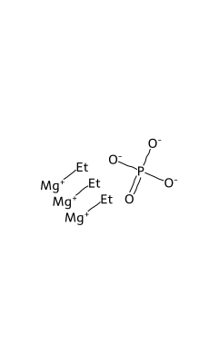 C[CH2][Mg+].C[CH2][Mg+].C[CH2][Mg+].O=P([O-])([O-])[O-]